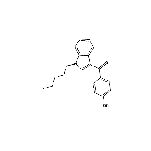 CCCCCn1cc(C(=O)c2ccc(O)cc2)c2ccccc21